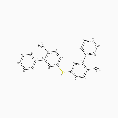 Cc1ccc(Sc2ccc(C)c(-c3ccccc3)c2)cc1-c1ccccc1